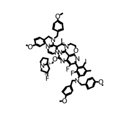 COc1ccc(CN(Cc2ccc(OC)cc2)c2cc(C)c(I)c(-c3nc4c5c(nc(OC[C@@]67CCCN6C[C@H](F)C7)nc5c3F)N([C@H](C)c3nccnc3N(Cc3ccc(OC)cc3)Cc3ccc(OC)cc3)CCO4)c2F)cc1